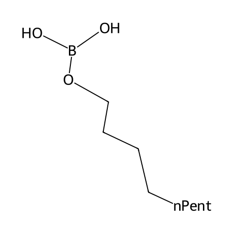 CCCCCCCCCOB(O)O